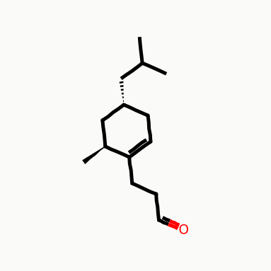 CC(C)C[C@@H]1CC=C(CCC=O)[C@@H](C)C1